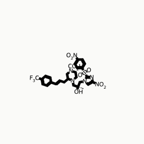 C[C@](O)(CN1CCN(C(=O)O)CC1CC=Cc1ccc(C(F)(F)F)cc1)Cn1cc([N+](=O)[O-])nc1S(=O)(=O)c1ccc([N+](=O)[O-])cc1